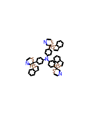 C1=CSC(c2ccc(N(c3ccc(C4([SH]5C=Cc6ccccc65)C=NC=CS4)cc3)c3ccc(C4([SH]5C=Cc6ccccc65)C=NC=CS4)cc3)cc2)([SH]2C=Cc3ccccc32)C=N1